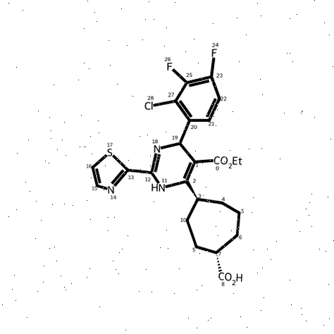 CCOC(=O)C1=C([C@H]2CCC[C@H](C(=O)O)CC2)NC(c2nccs2)=NC1c1ccc(F)c(F)c1Cl